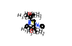 CC(C)(C)C1=CC(=C(/N=N/c2ccccc2)c2ccc(C(/N=N/c3ccccc3)=C3C=C(C(C)(C)C)C(=O)C(C(C)(C)C)=C3)s2)C=C(C(C)(C)C)C1=O